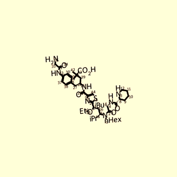 CCCCCCN(C(=O)[C@@H](NC(=O)[C@H]1CCCCN1)[C@@H](C)CC)[C@H](C[C@@H](OCC)c1nc(C(=O)N[C@@H](Cc2ccc(NC(=O)CN)cc2)CC(C)(C)C(=O)O)cs1)C(C)C